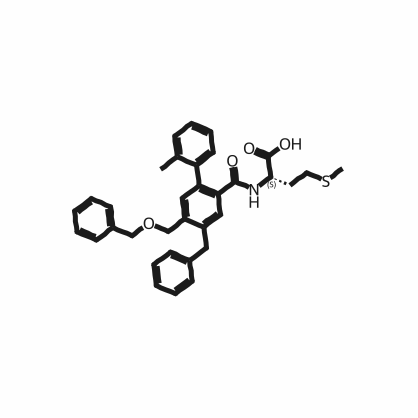 CSCC[C@H](NC(=O)c1cc(Cc2ccccc2)c(COCc2ccccc2)cc1-c1ccccc1C)C(=O)O